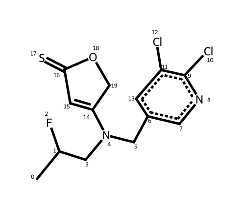 CC(F)CN(Cc1cnc(Cl)c(Cl)c1)C1=CC(=S)OC1